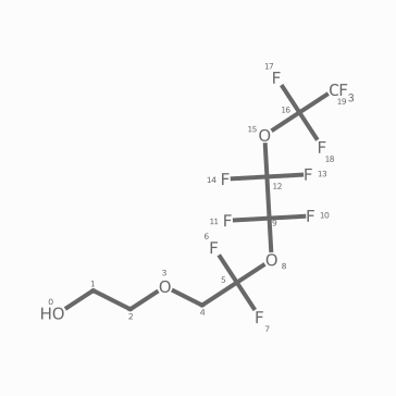 OCCOCC(F)(F)OC(F)(F)C(F)(F)OC(F)(F)C(F)(F)F